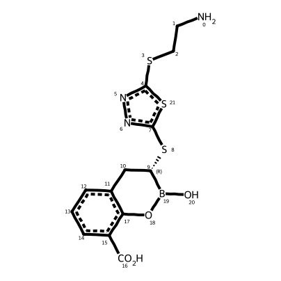 NCCSc1nnc(S[C@H]2Cc3cccc(C(=O)O)c3OB2O)s1